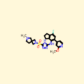 COc1cc(-c2cc(F)c3c(c2Nc2nnc(S(=O)(=O)N4CC5(CCN(C)C5)C4)[nH]2)CCC3)ccn1